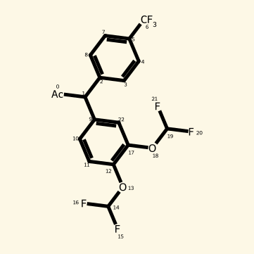 CC(=O)C(c1ccc(C(F)(F)F)cc1)c1ccc(OC(F)F)c(OC(F)F)c1